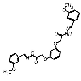 COc1cccc(/C=N/NC(=O)COc2cccc(OCC(=O)N/N=C/c3cccc(OC)c3)c2)c1